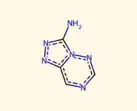 Nc1nnc2cncnn12